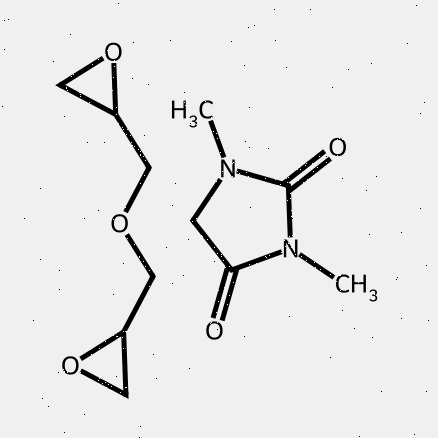 C(OCC1CO1)C1CO1.CN1CC(=O)N(C)C1=O